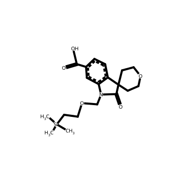 C[Si](C)(C)CCOCN1C(=O)C2(CCOCC2)c2ccc(C(=O)O)cc21